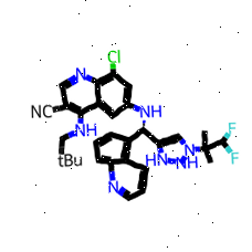 CC(C)(C)CNc1c(C#N)cnc2c(Cl)cc(N[C@H](C3=CN(C(C)(C)C(F)F)NN3)c3cccc4ncccc34)cc12